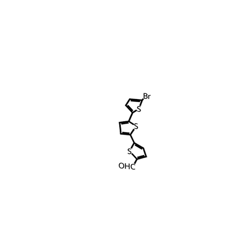 O=Cc1ccc(-c2ccc(-c3ccc(Br)s3)s2)s1